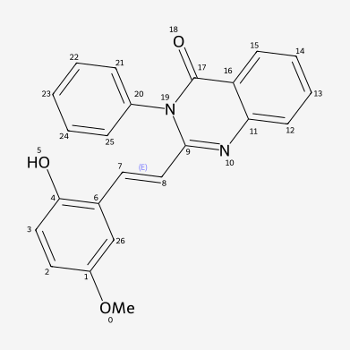 COc1ccc(O)c(/C=C/c2nc3ccccc3c(=O)n2-c2ccccc2)c1